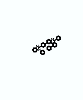 c1ccc(-c2nc3ccc(-c4ccc(-c5nc6ccccc6n5-c5ccccc5)cc4)cc3c3c(-c4ccccc4)cccc23)cc1